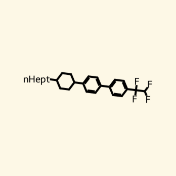 CCCCCCCC1CCC(c2ccc(-c3ccc(C(F)(F)C(F)F)cc3)cc2)CC1